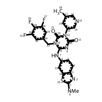 CNc1nc2ccc(Nc3nc(=O)n(-c4cncc(C)c4)c(=O)n3Cc3cc(F)c(F)c(F)c3)cc2s1